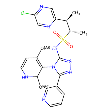 COC1=C(n2c(NS(=O)(=O)[C@@H](C)[C@H](C)c3cnc(Cl)cn3)nnc2-c2cccnc2)C(OC)NC=C1